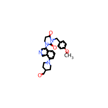 COc1ccc(CN2C(=O)CCN(c3cncc4c(N5CCC(C=O)CC5)cccc34)C2=O)cc1